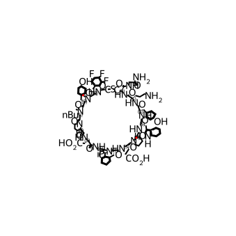 CCCC[C@H]1C(=O)N2CCC[C@@H]2C(=O)N[C@@H](CC(=O)O)C(=O)N[C@@H](C(C)C)C(=O)N(C)[C@@H](Cc2ccccc2)C(=O)N[C@@H](CCC(=O)O)C(=O)N2CCCC[C@@H]2C(=O)N[C@@H](Cc2c[nH]c3ccccc23)C(=O)N[C@@H](Cc2ccc(O)cc2)C(=O)N[C@@H](CCCN)C(=O)N[C@H](C(=O)NCC(N)=O)CSCC(=O)N[C@@H](Cc2cc(F)c(F)c(F)c2)C(=O)N(C)[C@@H](Cc2ccc(O)cc2)C(=O)N1C